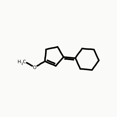 COC1=CC(=C2CCCCC2)CC1